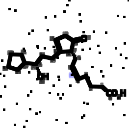 O=C(O)CCC/C=C\C[C@H]1C(=O)CC=C1CC[C@H](O)C1CCCC1